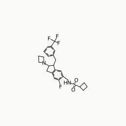 O=S(=O)(NCc1cc2c(cc1F)CC(N1CCC1)C2Cc1cccc(C(F)(F)F)c1)C1CCC1